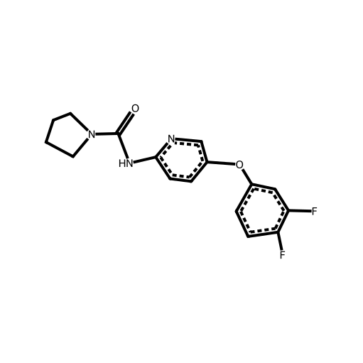 O=C(Nc1ccc(Oc2ccc(F)c(F)c2)cn1)N1CCCC1